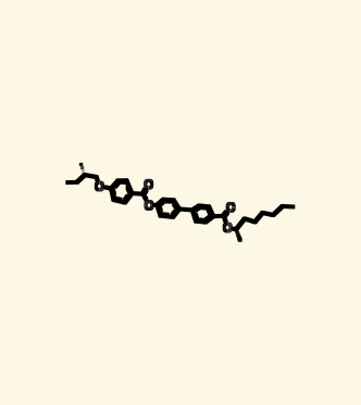 CCCCCC[C@@H](C)OC(=O)c1ccc(-c2ccc(OC(=O)c3ccc(OC[C@@H](C)CC)cc3)cc2)cc1